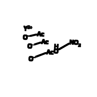 CC(=O)[O-].CC(=O)[O-].CC(=O)[O-].O=[N+]([O-])O.[Y+3]